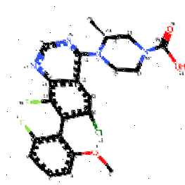 COc1cccc(F)c1-c1c(Cl)cc2c(N3CCN(C(=O)O)C[C@@H]3C)ncnc2c1F